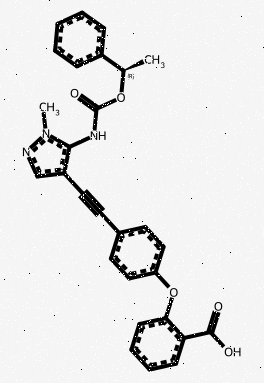 C[C@@H](OC(=O)Nc1c(C#Cc2ccc(Oc3ccccc3C(=O)O)cc2)cnn1C)c1ccccc1